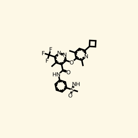 Cc1cc(C2CCC2)nc(C)c1Oc1nnc(C(F)(F)F)c(C)c1C(=O)Nc1cccc(S(C)(=N)=O)c1